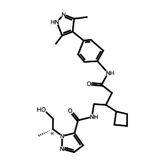 Cc1n[nH]c(C)c1-c1ccc(NC(=O)CC(CNC(=O)c2ccnn2[C@H](C)CO)C2CCC2)cc1